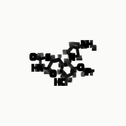 CC(C)Oc1cccc(C=C2SC(=O)NC2=O)c1N1CCC(N)C1.Cl